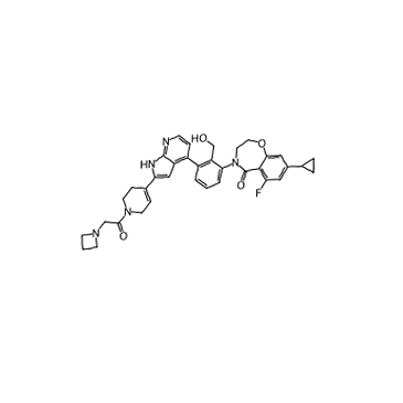 O=C(CN1CCC1)N1CC=C(c2cc3c(-c4cccc(N5CCOc6cc(C7CC7)cc(F)c6C5=O)c4CO)ccnc3[nH]2)CC1